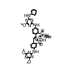 COc1nc(Nc2ccccc2)nc(Nc2ccc(C=Cc3ccc(Nc4nc(OC)nc(OC)n4)cc3S(=O)(=O)O)c(S(=O)(=O)O)c2)n1.[Na].[Na]